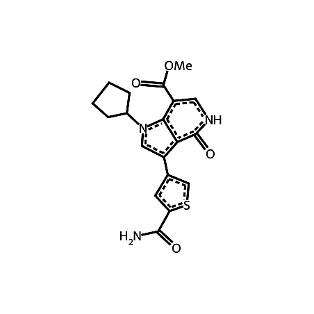 COC(=O)c1c[nH]c(=O)c2c(-c3csc(C(N)=O)c3)cn(C3CCCC3)c12